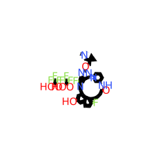 CN(C)CC1(COc2nc3c4cnc(c(F)c4n2)-c2cc(O)cc4ccc(F)c(c24)CCCC(=O)N[C@]2(C)CCCN3C2)CC1.O=C(O)C(F)(F)F.O=C(O)C(F)(F)F